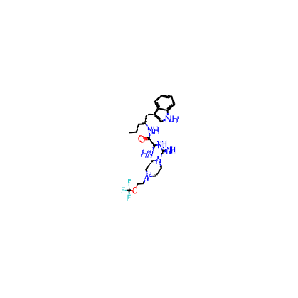 CCCC(Cc1c[nH]c2ccccc12)NC(=O)C(=N)NC(=N)N1CCN(CCOC(F)(F)F)CC1